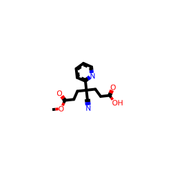 COC(=O)CCC(C#N)(CCC(=O)O)c1ccccn1